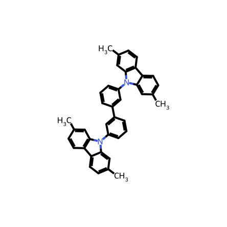 Cc1ccc2c3ccc(C)cc3n(-c3cccc(-c4cccc(-n5c6cc(C)ccc6c6ccc(C)cc65)c4)c3)c2c1